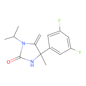 C=C1N(C(C)C)C(=O)NC1(C)c1cc(F)cc(F)c1